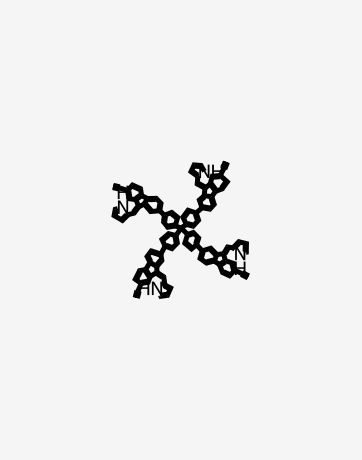 C#Cc1ccc2c(c1)/C(=C\c1ccc[nH]1)c1cc(-c3ccc(C(c4ccc(-c5ccc6c(c5)/C(=C/c5ccc[nH]5)c5cc(C#C)ccc5-6)cc4)(c4ccc(-c5ccc6c(c5)/C(=C/c5ccc[nH]5)c5cc(C#C)ccc5-6)cc4)c4ccc(-c5ccc6c(c5)/C(=C/c5ccc[nH]5)c5cc(C#C)ccc5-6)cc4)cc3)ccc1-2